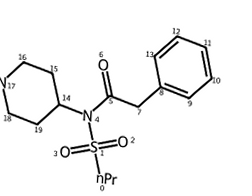 CCCS(=O)(=O)N(C(=O)Cc1ccccc1)C1CCNCC1